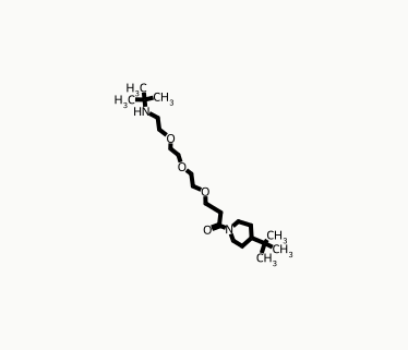 CC(C)(C)NCCOCCOCCOCCC(=O)N1CCC(C(C)(C)C)CC1